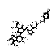 CCC(C)C(C(CC(=O)N1CCCC1C(CC(=O)NCCc1ccc(Cl)cc1)SC)OC)N(C)C(=O)C(NC(=O)C(C(C)C)N(C)C)C(C)C